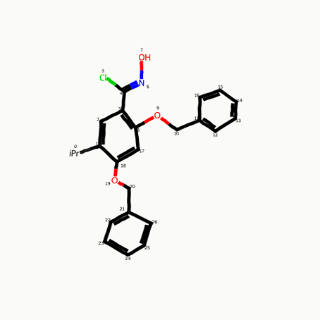 CC(C)c1cc(/C(Cl)=N/O)c(OCc2ccccc2)cc1OCc1ccccc1